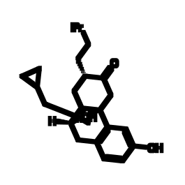 CC(C)CC[C@H]1C[C@@]2(O)[C@H]3Cc4ccc(O)cc4[C@@]2(CCN3CC2CC2)CC1=O